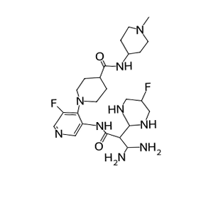 CN1CCC(NC(=O)C2CCN(c3c(F)cncc3NC(=O)C(C(N)N)C3NCC(F)CN3)CC2)CC1